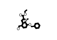 CCOC(=O)c1cc2c(C=O)ccc(OCc3ccccc3)c2n1C